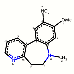 COc1cc2c(cc1[N+](=O)[O-])-c1cccnc1CCN2C